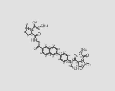 CN1CCC(C(=O)NCC(=O)c2ccc3cc(-c4ccc(N(CC=O)C(=O)C5CCN(C)N5C(=O)OC(C)(C)C)cc4)ccc3c2)N1C(=O)OC(C)(C)C